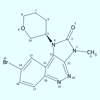 Cn1c(=O)n([C@@H]2CCCOC2)c2c3cc(Br)ccc3nnc21